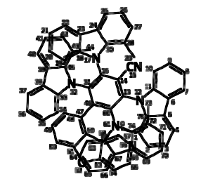 Cc1cccc2c3ccccc3n(-c3c(C#N)c(-n4c5ccccc5c5cccc(C)c54)c(-n4c5ccccc5c5cccc(C)c54)c(-c4cccc5oc6ccncc6c45)c3-n3c4ccccc4c4cccc(C)c43)c12